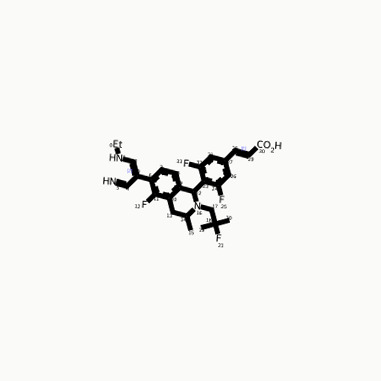 CCN/C=C(\C=N)c1ccc2c(c1F)CC(C)N(CC(C)(C)F)C2c1c(F)cc(/C=C/C(=O)O)cc1F